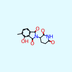 Cc1ccc2c(c1O)C(=O)N(C1CCC(=O)NC1=O)C2=O